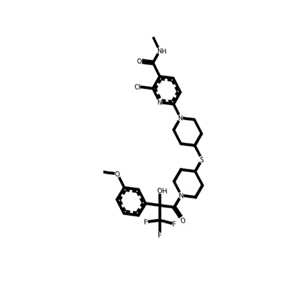 CNC(=O)c1ccc(N2CCC(SC3CCN(C(=O)C(O)(c4cccc(OC)c4)C(F)(F)F)CC3)CC2)nc1Cl